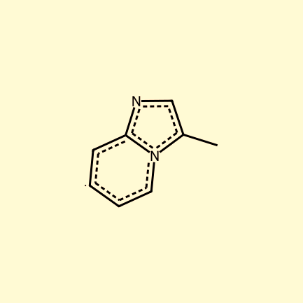 Cc1cnc2c[c]ccn12